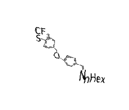 CCCCCCN=Cc1ccc(OCc2ccc(SC(F)(F)F)cc2)cc1